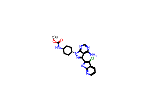 CC(C)(C)OC(=O)N[C@H]1CC[C@H](n2nc(-c3[nH]c4ncccc4c3Cl)c3c(N)ncnc32)CC1